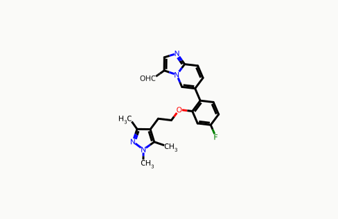 Cc1nn(C)c(C)c1CCOc1cc(F)ccc1-c1ccc2ncc(C=O)n2c1